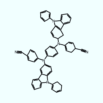 N#Cc1ccc(N(c2ccc(N(C3=CCC(C#N)C=C3)C3C=Cc4c(c5ccccc5n4-c4ccccc4)C3)cc2)c2ccc3c(c2)c2ccccc2n3C2=CC=CCC2)cc1